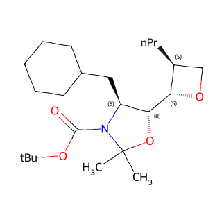 CCC[C@H]1CO[C@@H]1[C@@H]1OC(C)(C)N(C(=O)OC(C)(C)C)[C@H]1CC1CCCCC1